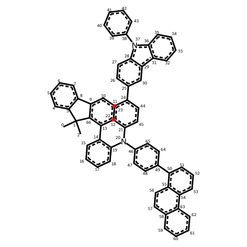 CC1(C)c2ccccc2-c2cccc(-c3ccccc3N(c3ccc(-c4ccc5c(c4)c4ccccc4n5-c4ccccc4)cc3)c3ccc(-c4cccc5c4ccc4ccccc45)cc3)c21